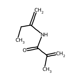 C=C(CC)NC(=O)C(=C)C